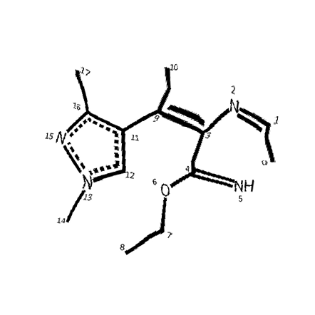 C/C=N\C(C(=N)OCC)=C(/C)c1cn(C)nc1C